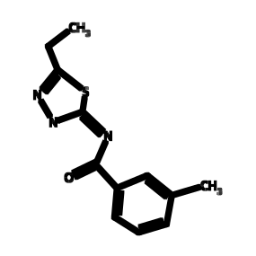 CCC1=N[N]C(=NC(=O)c2cccc(C)c2)S1